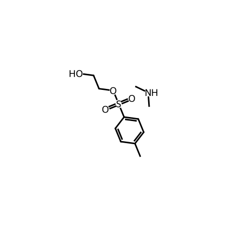 CNC.Cc1ccc(S(=O)(=O)OCCO)cc1